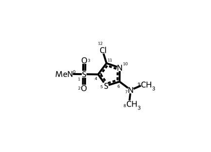 CNS(=O)(=O)c1sc(N(C)C)nc1Cl